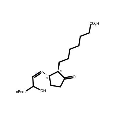 CCCCCC(O)/C=C\[C@H]1CCC(=O)[C@@H]1CCCCCCC(=O)O